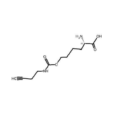 C#CCCNC(=O)OCCCC[C@H](N)C(=O)O